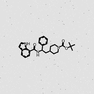 CC(C)(C)OC(=O)N1CCC(CC(NC(=O)c2cccc3cc[nH]c23)c2ccccc2)CC1